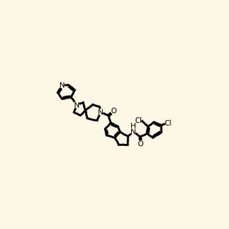 O=C(NC1CCc2ccc(C(=O)N3CCC4(CC3)CCN(c3ccncc3)C4)cc21)c1ccc(Cl)cc1Cl